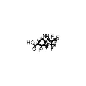 O=C(O)c1cc2nnn(C(C(F)(F)F)C(F)(F)F)c2c(F)c1F